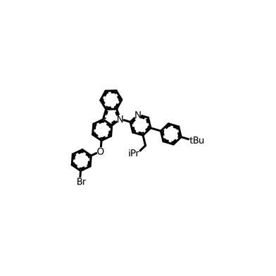 CC(C)Cc1cc(-n2c3ccccc3c3ccc(Oc4cccc(Br)c4)cc32)ncc1-c1ccc(C(C)(C)C)cc1